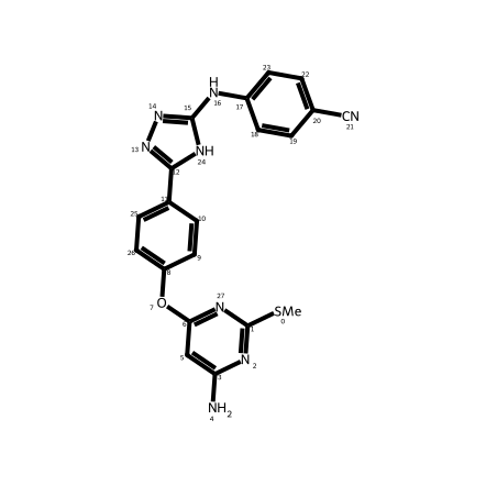 CSc1nc(N)cc(Oc2ccc(-c3nnc(Nc4ccc(C#N)cc4)[nH]3)cc2)n1